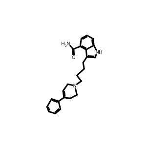 NC(=O)c1cccc2[nH]cc(CCCCN3CC=C(c4ccccc4)CC3)c12